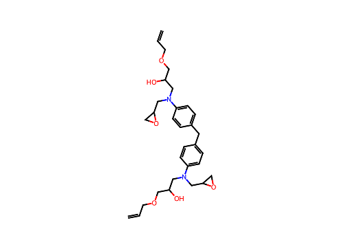 C=CCOCC(O)CN(CC1CO1)c1ccc(Cc2ccc(N(CC(O)COCC=C)CC3CO3)cc2)cc1